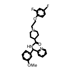 COc1cccc(C(NC(=O)C2CCN(CCOc3ccc(F)cc3F)CC2)c2ccccn2)c1